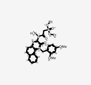 CCOP(=O)(CC(=O)N(N)c1nc2ccc3ccccc3c2n(Cc2ccc(OC)cc2OC)c1=O)OCC